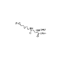 CCOCCOCCNC(=O)CCC(NC=O)C(=O)OC